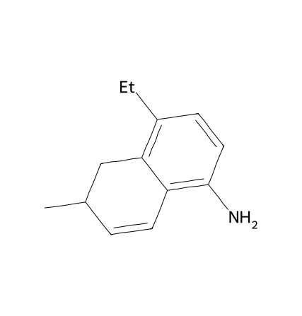 CCc1ccc(N)c2c1CC(C)C=C2